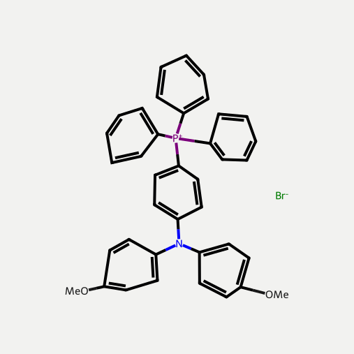 COc1ccc(N(c2ccc(OC)cc2)c2ccc([P+](c3ccccc3)(c3ccccc3)c3ccccc3)cc2)cc1.[Br-]